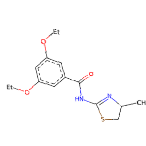 CCOc1cc(OCC)cc(C(=O)NC2=NC(C)CS2)c1